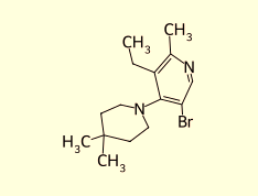 CCc1c(C)ncc(Br)c1N1CCC(C)(C)CC1